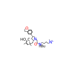 CCCCN(CCCC[N+](C)(C)C)C(=O)CN1C[C@H](c2ccc3c(c2)CCO3)[C@@H](C(=O)O)[C@@H]1CC(C)(C)C=C(C)C